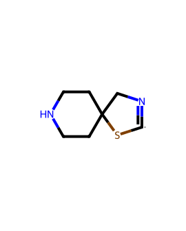 [C]1=NCC2(CCNCC2)S1